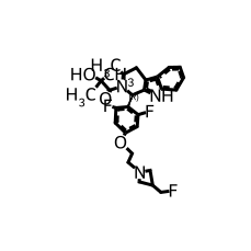 CC1Cc2c([nH]c3ccccc23)[C@@H](c2c(F)cc(OCCN3CC(CF)C3)cc2F)N1C(=O)C(C)(C)O